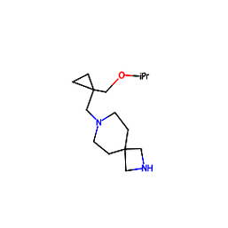 CC(C)OCC1(CN2CCC3(CC2)CNC3)CC1